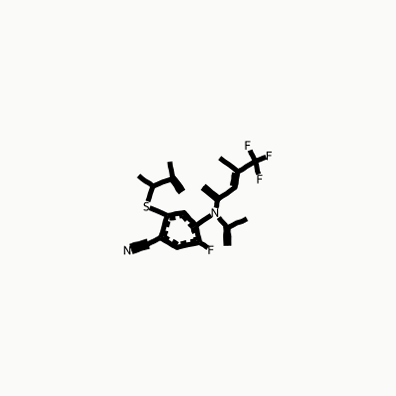 C=C(C)C(C)Sc1cc(N(C(=C)C)C(=C)/C=C(\C)C(F)(F)F)c(F)cc1C#N